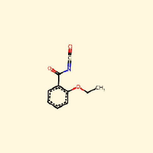 CCOc1ccccc1C(=O)N=C=O